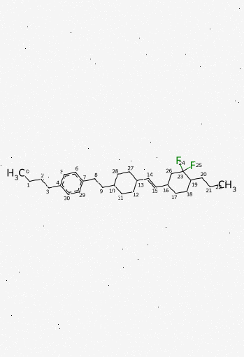 CCCCc1ccc(CCC2CCC(/C=C/C3CCC(CCC)C(F)(F)C3)CC2)cc1